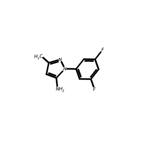 Cc1cc(N)n(-c2cc(F)cc(F)c2)n1